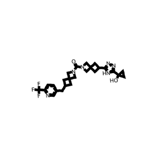 O=C(N1CC2(CC(Cc3ccc(C(F)(F)F)nc3)C2)C1)N1CC2(CC(c3nnc(C4(O)CC4)[nH]3)C2)C1